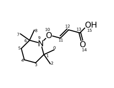 CC1(C)CCCC(C)(C)N1OC=CC(=O)O